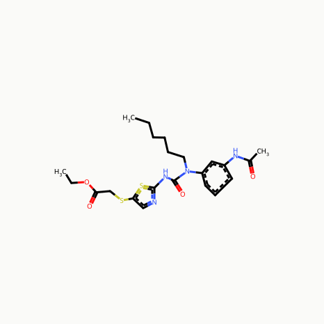 CCCCCCN(C(=O)Nc1ncc(SCC(=O)OCC)s1)c1cccc(NC(C)=O)c1